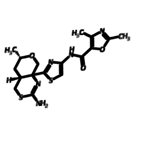 Cc1nc(C)c(C(=O)Nc2csc(C34CO[C@@H](C)C[C@H]3CSC(N)=N4)n2)o1